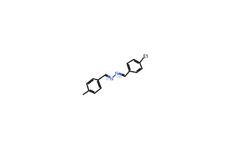 CCc1ccc(/C=N/N=C/c2ccc(C)cc2)cc1